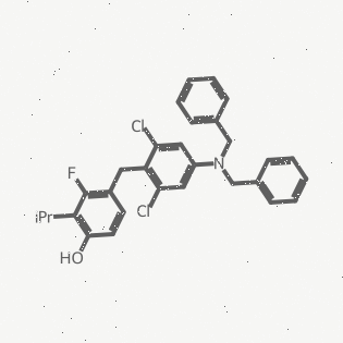 CC(C)c1c(O)ccc(Cc2c(Cl)cc(N(Cc3ccccc3)Cc3ccccc3)cc2Cl)c1F